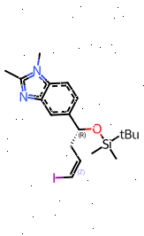 Cc1nc2cc([C@@H](C/C=C\I)O[Si](C)(C)C(C)(C)C)ccc2n1C